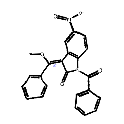 CO/C(=C1/C(=O)N(C(=O)c2ccccc2)c2ccc([N+](=O)[O-])cc21)c1ccccc1